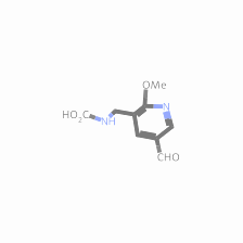 COc1ncc(C=O)cc1CNC(=O)O